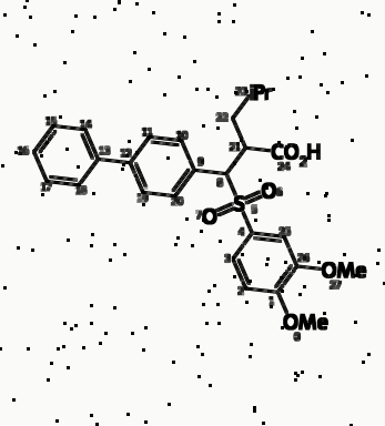 COc1ccc(S(=O)(=O)C(c2ccc(-c3ccccc3)cc2)C(CC(C)C)C(=O)O)cc1OC